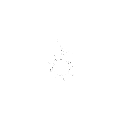 CCCCCCC[C@@H](O)CC(=O)N[C@H](CCN)C(=O)N[C@H]1CCNC(=O)[C@H](CC(C)C)NC(=O)[C@H](CCN)NC(=O)[C@H](CCN)NC(=O)[C@H](CC(C)C)NC(=O)[C@@H](CC(C)C)NC(=O)[C@H](CCN)NC(=O)[C@@H](CCN)NC1O